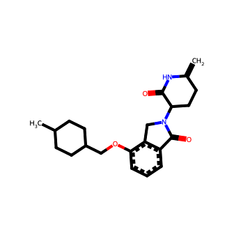 C=C1CCC(N2Cc3c(OCC4CCC(C)CC4)cccc3C2=O)C(=O)N1